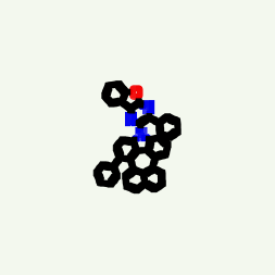 c1ccc(-c2ccc3c4c2-c2cccc5cccc(c25)-c2cccc(c24)n3-c2nc3c(nc2-c2ccccc2)oc2ccccc23)cc1